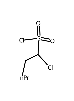 CCCCC(Cl)S(=O)(=O)Cl